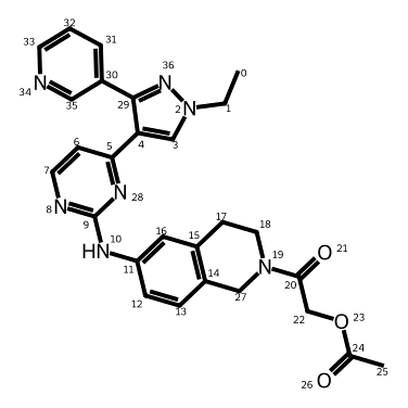 CCn1cc(-c2ccnc(Nc3ccc4c(c3)CCN(C(=O)COC(C)=O)C4)n2)c(-c2cccnc2)n1